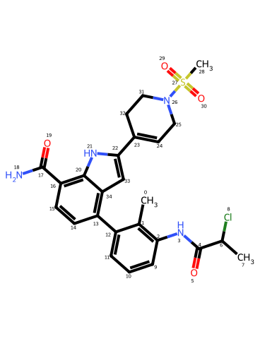 Cc1c(NC(=O)C(C)Cl)cccc1-c1ccc(C(N)=O)c2[nH]c(C3=CCN(S(C)(=O)=O)CC3)cc12